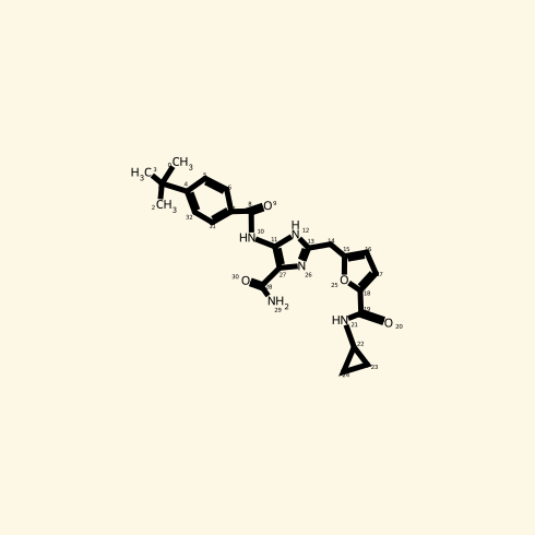 CC(C)(C)c1ccc(C(=O)Nc2[nH]c(Cc3ccc(C(=O)NC4CC4)o3)nc2C(N)=O)cc1